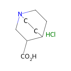 Cl.O=C(O)C1CN2CCC1CC2